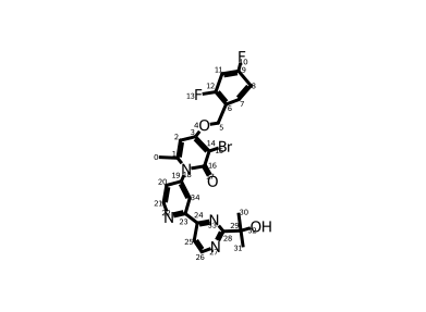 Cc1cc(OCc2ccc(F)cc2F)c(Br)c(=O)n1-c1ccnc(-c2ccnc(C(C)(C)O)n2)c1